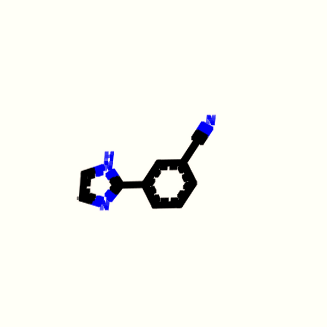 N#Cc1cccc(-c2n[c]c[nH]2)c1